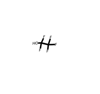 OC(F)(F)C(F)(F)F